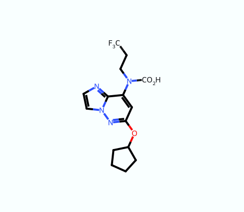 O=C(O)N(CCC(F)(F)F)c1cc(OC2CCCC2)nn2ccnc12